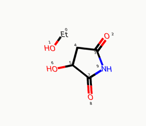 CCO.O=C1CC(O)C(=O)N1